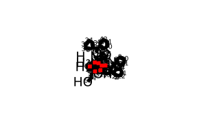 NC(=O)C[C@H](NC(c1ccccc1)(c1ccccc1)c1ccccc1)C(=O)C(C(=O)OC(c1ccccc1)c1ccccc1)(C(=O)C(N)(O)C(O)C(O)CCO)C(N)c1ccccc1